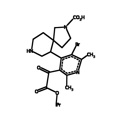 Cc1nc(C)c(C(=O)C(=O)OC(C)C)c(C2CNCCC23CCN(C(=O)O)C3)c1Br